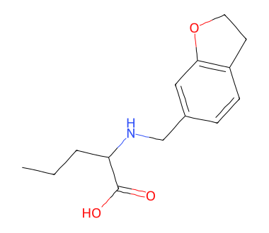 CCCC(NCc1ccc2c(c1)OCC2)C(=O)O